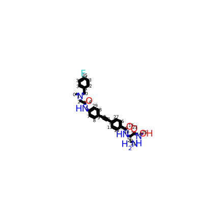 CN(CC(=O)Nc1ccc(C#Cc2ccc(C(=O)N[C@@H](CN)C(=O)NO)cc2)cc1)Cc1ccc(F)cc1